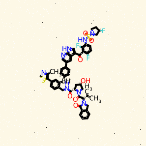 Cc1ncsc1-c1ccc(CNC(=O)[C@@H]2C[C@@H](O)CN2C(=O)[C@H](C(C)C)N2Cc3ccccc3C2=O)c(Bc2ccc(-c3cnc4[nH]cc(C(=O)c5c(F)ccc(NS(=O)(=O)N6CC[C@@H](F)C6)c5F)c4c3)cc2)c1